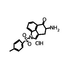 Cc1ccc(S(=O)(=O)n2cc3c4c(cccc42)C(=O)C(N)C3)cc1.Cl